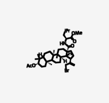 C=C(CBr)[C@@H]1CC[C@]2(C(=O)N[C@@H](CC(C)C)C(=O)OC)CC[C@]3(C)[C@H](CCC4[C@@]5(C)CC[C@H](OC(C)=O)C(C)(C)[C@@H]5CC[C@]43C)[C@@H]12